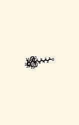 CCCCCCCCC(=O)C(OC)C1C(C)=CC=C1C